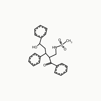 CS(=O)(=O)NCC(C(=O)c1ccccc1)C(CC(O)c1ccccc1)c1ccccc1